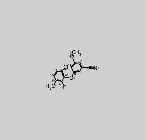 COc1cc(C#N)cc(Oc2c(Cl)ccc(C)c2F)c1